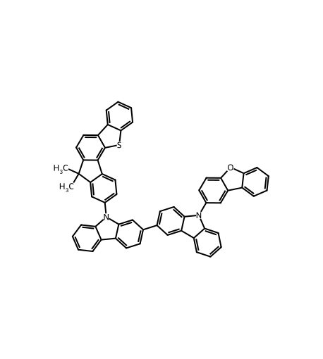 CC1(C)c2cc(-n3c4ccccc4c4ccc(-c5ccc6c(c5)c5ccccc5n6-c5ccc6oc7ccccc7c6c5)cc43)ccc2-c2c1ccc1c2sc2ccccc21